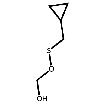 OCOSCC1CC1